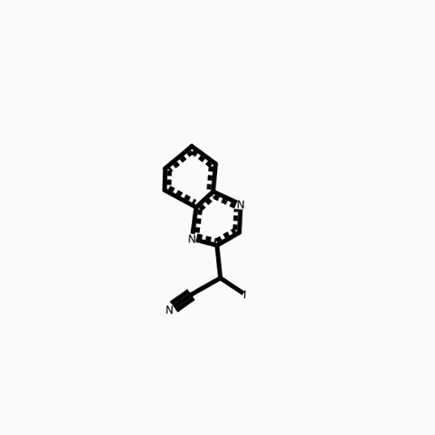 N#CC(I)c1cnc2ccccc2n1